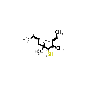 C/C=C\CC(C)(C)C(S)C(C)/C=C/C